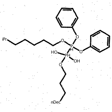 CCCCCCCCCCCCCO[PH](O)(O)[PH](OCCCCCC(C)C)(Oc1ccccc1)Oc1ccccc1